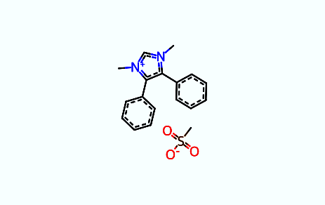 CS(=O)(=O)[O-].Cn1c[n+](C)c(-c2ccccc2)c1-c1ccccc1